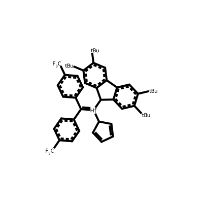 CC(C)(C)c1cc2c(cc1C(C)(C)C)[CH]([Hf](=[C](c1ccc(C(F)(F)F)cc1)c1ccc(C(F)(F)F)cc1)[CH]1C=CC=C1)c1cc(C(C)(C)C)c(C(C)(C)C)cc1-2